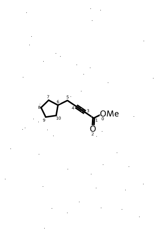 COC(=O)C#CCC1CCCC1